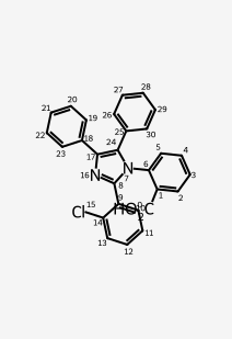 O=C(O)c1ccccc1-n1c(-c2ccccc2Cl)nc(-c2ccccc2)c1-c1ccccc1